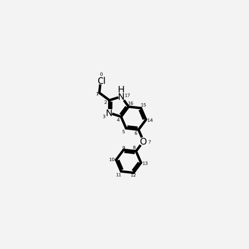 ClCc1nc2cc(Oc3ccccc3)ccc2[nH]1